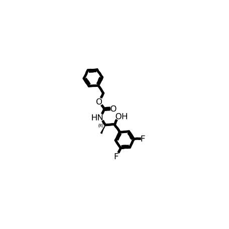 C[C@@H](NC(=O)OCc1ccccc1)C(O)c1cc(F)cc(F)c1